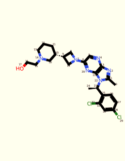 Cc1nc2ncc(N3CC([C@H]4CCCN(CCO)C4)C3)nc2n1[C@H](C)c1ccc(Cl)cc1Cl